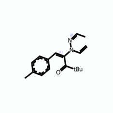 C=CN(/N=C\C)/C(=C/c1ccc(C)cc1)C(=O)C(C)(C)C